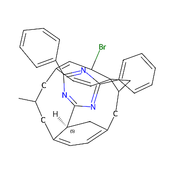 CC1CC2=CC(Br)C3(C=C2)CC3CC2=CC=C(C1)[C@@H](c1nc(-c3ccccc3)nc(-c3ccccc3)n1)C2